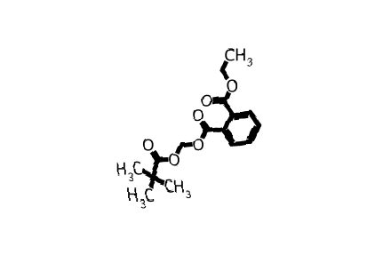 CCOC(=O)c1ccccc1C(=O)OCOC(=O)C(C)(C)C